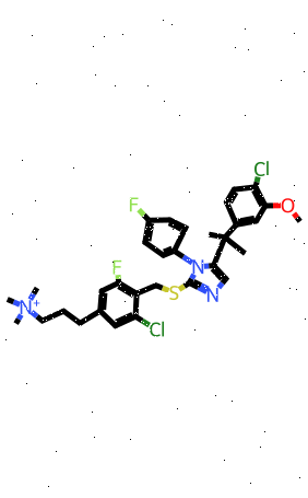 COc1cc(C(C)(C)c2cnc(SCc3c(F)cc(CCC[N+](C)(C)C)cc3Cl)n2-c2ccc(F)cc2)ccc1Cl